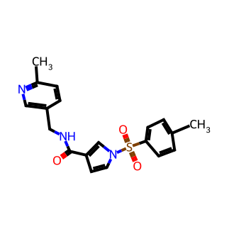 Cc1ccc(S(=O)(=O)n2ccc(C(=O)NCc3ccc(C)nc3)c2)cc1